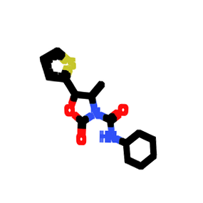 CC1C(c2cccs2)OC(=O)N1C(=O)NC1CCCCC1